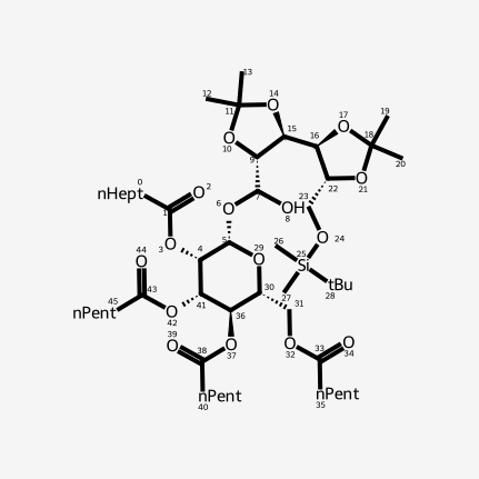 CCCCCCCC(=O)O[C@@H]1[C@H](OC(O)[C@@H]2OC(C)(C)O[C@H]2[C@H]2OC(C)(C)O[C@@H]2CO[Si](C)(C)C(C)(C)C)O[C@H](COC(=O)CCCCC)[C@@H](OC(=O)CCCCC)[C@@H]1OC(=O)CCCCC